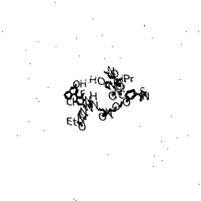 CCC(=O)N1CCN(c2nc(NCCC(=O)N(C)CCOCCOc3cc(-c4scnc4C)ccc3CNC(=O)[C@@H]3C[C@@H](O)CN3C(=O)C(c3cc(C)no3)C(C)C)nc3c(F)c(-c4cc(O)cc5ccccc45)c(Cl)cc23)CC1